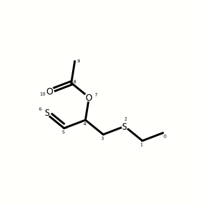 CCSCC([C]=S)OC(C)=O